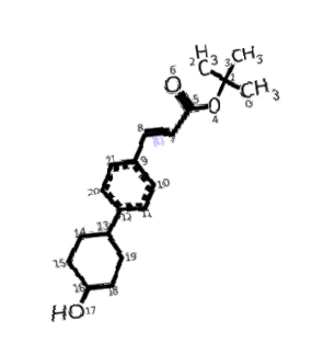 CC(C)(C)OC(=O)/C=C/c1ccc(C2CCC(O)CC2)cc1